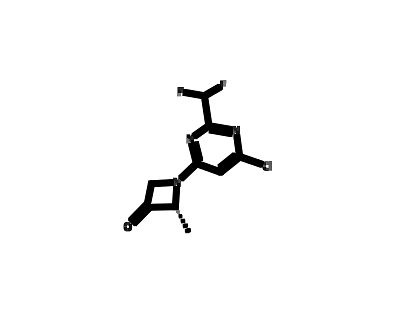 C[C@@H]1C(=O)CN1c1cc(Cl)nc(C(F)F)n1